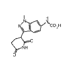 Cn1nc(C2CCC(=O)NC2=O)c2ccc(NC(=O)O)cc21